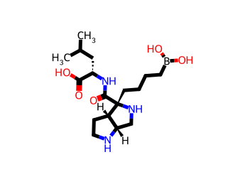 CC(C)C[C@H](NC(=O)[C@]1(CCCCB(O)O)NC[C@@H]2NCC[C@@H]21)C(=O)O